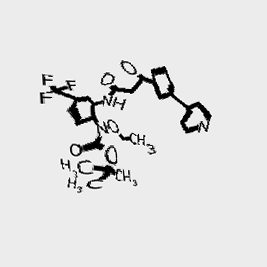 CCON(C(=O)OC(C)(C)C)c1ccc(C(F)(F)F)cc1NC(=O)CC(=O)c1cccc(-c2ccncc2)c1